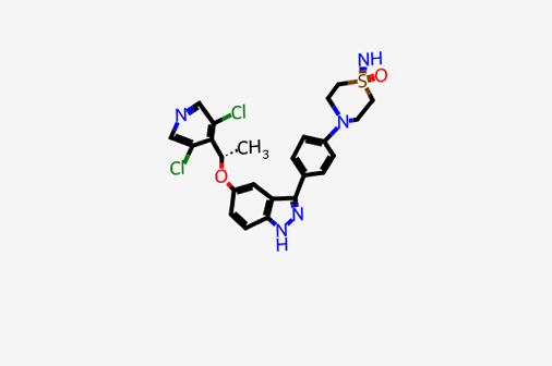 C[C@H](Oc1ccc2[nH]nc(-c3ccc(N4CCS(=N)(=O)CC4)cc3)c2c1)c1c(Cl)cncc1Cl